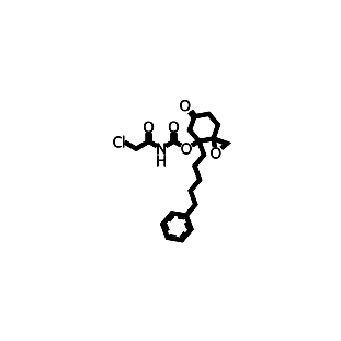 O=C1CCC2(CO2)C(CCCCCc2ccccc2)(OC(=O)NC(=O)CCl)C1